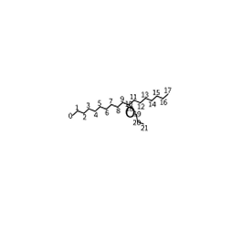 CCCCCCCCCCC(CCCCCCC)OCCC